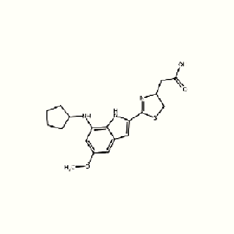 COc1cc(NC2CCCC2)c2[nH]c(C3=NC(CC(=O)O)CS3)cc2c1